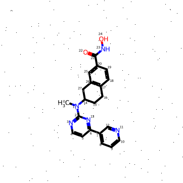 CN(c1nccc(-c2cccnc2)n1)C1CCc2ccc(C(=O)NO)cc2C1